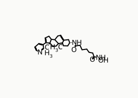 C[C@]12CC[C@@H](NC(=O)CCCCCC(=O)NO)CC1=CCC1C2CC[C@]2(C)C(c3cccnc3)=CCC12